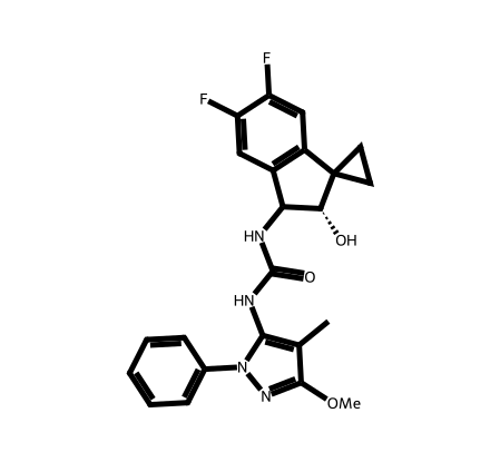 COc1nn(-c2ccccc2)c(NC(=O)NC2c3cc(F)c(F)cc3C3(CC3)[C@@H]2O)c1C